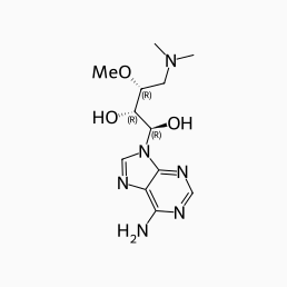 CO[C@H](CN(C)C)[C@@H](O)[C@@H](O)n1cnc2c(N)ncnc21